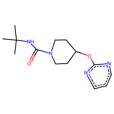 CC(C)(C)NC(=O)N1CCC(Oc2ncccn2)CC1